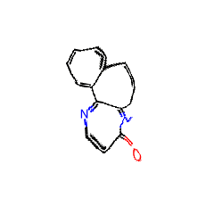 O=c1ccnc2c(ccc3ccccc32)n1